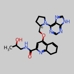 CC(O)CNC(=O)c1cc(OC[C@H]2CCCN2c2ncnc3[nH]cnc23)c2c(n1)CCC=C2